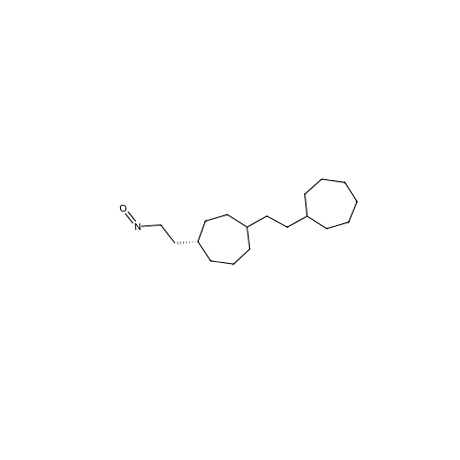 O=NCC[C@H]1CCCC(CCC2CCCCCC2)CC1